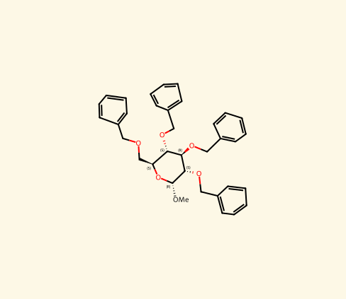 CO[C@@H]1O[C@@H](COCc2ccccc2)[C@H](OCc2ccccc2)[C@@H](OCc2ccccc2)[C@@H]1OCc1ccccc1